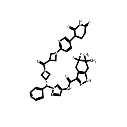 CC1(C)Cc2[nH]nc(C(=O)Nc3cnn([C@H](c4ccccc4)C4CN(C(=O)C5CN(c6ccc(C7CCC(=O)NC7=O)cn6)C5)C4)c3)c2CC1(F)F